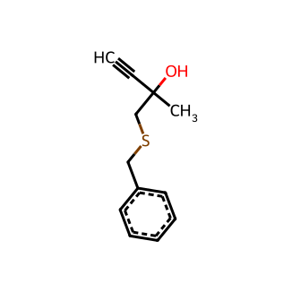 C#CC(C)(O)CSCc1ccccc1